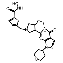 CC1CN(Cc2ccc(C(=O)NO)s2)CC1c1nc2c(cnn2C2CCOCC2)c(=O)[nH]1